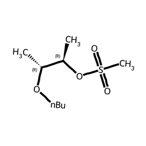 CCCCO[C@H](C)[C@@H](C)OS(C)(=O)=O